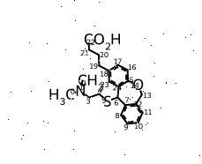 CN(C)CCSC1c2ccccc2COc2ccc(CCCC(=O)O)cc21